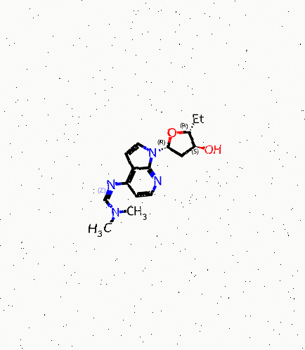 CC[C@H]1O[C@@H](n2ccc3c(/N=C\N(C)C)ccnc32)C[C@@H]1O